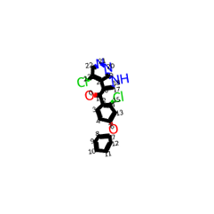 O=C(c1ccc(Oc2ccccc2)cc1Cl)c1c[nH]c2nncc(Cl)c12